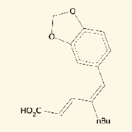 CCCCC(C=CC(=O)O)=Cc1ccc2c(c1)OCO2